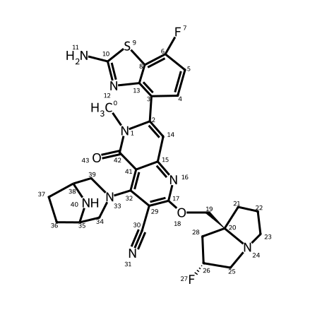 Cn1c(-c2ccc(F)c3sc(N)nc23)cc2nc(OC[C@@]34CCCN3C[C@H](F)C4)c(C#N)c(N3CC4CCC(C3)N4)c2c1=O